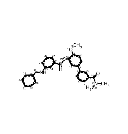 COc1ccc(-c2cccc(C(=O)N(C)C)c2)cc1SNc1cccc(NCc2ccccc2)c1